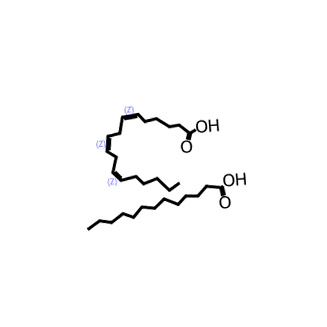 CCCCC/C=C\C/C=C\C/C=C\CCCCC(=O)O.CCCCCCCCCCCCC(=O)O